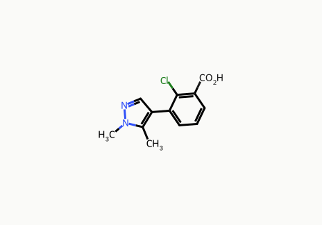 Cc1c(-c2cccc(C(=O)O)c2Cl)cnn1C